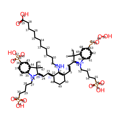 CC1(C)C(/C=C/C2=C(NCCCCCCCCCCC(=O)O)C(=C/C=C3/N(CCCCS(=O)(=O)O)c4ccc(S(=O)(=O)O)cc4C3(C)C)/CCC2)=[N+](CCCCS(=O)(=O)O)c2ccc(SOOO)cc21